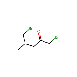 CC(CBr)CC(=O)CBr